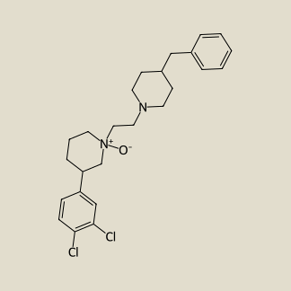 [O-][N+]1(CCN2CCC(Cc3ccccc3)CC2)CCCC(c2ccc(Cl)c(Cl)c2)C1